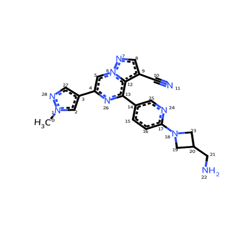 Cn1cc(-c2cn3ncc(C#N)c3c(-c3ccc(N4CC(CN)C4)nc3)n2)cn1